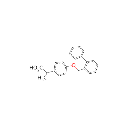 CC(C(=O)O)c1ccc(OCc2ccccc2-c2ccccc2)cc1